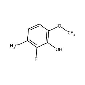 Cc1ccc(OC(F)(F)F)c(O)c1F